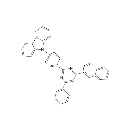 c1ccc(-c2cc(-c3ccc4ccccc4c3)nc(-c3ccc(-n4c5ccccc5c5ccccc54)cc3)n2)cc1